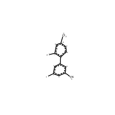 N#Cc1cc(I)cc(-c2ccc(C(F)(F)F)cc2I)c1